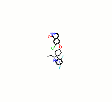 CCC(N)[C@]1(c2ccc(F)cc2F)CC[C@H](Oc2cc3cc[nH]c(=O)c3cc2Cl)CC1